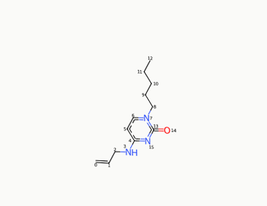 C=CCNc1ccn(CCCCC)c(=O)n1